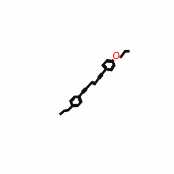 CCCOc1ccc(C#C/C=C/C#Cc2ccc(CCC)cc2)cc1